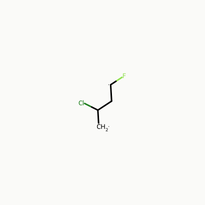 [CH2]C(Cl)C[CH]F